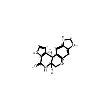 O=C1N[C@H]2COc3cc4c(cc3[C@@H]2c2ccsc21)OCO4